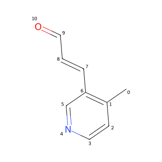 Cc1ccncc1C=CC=O